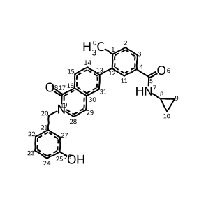 Cc1ccc(C(=O)NC2CC2)cc1-c1ccc2c(=O)n(Cc3cccc(O)c3)ccc2c1